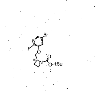 CC(C)(C)OC(=O)N1CC[C@H]1COc1cc(Br)cnc1F